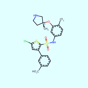 C[C@@]1(Oc2cc(NS(=O)(=O)c3sc(Cl)cc3-c3cccc(C(=O)O)c3)ccc2C(F)(F)F)CCNC1